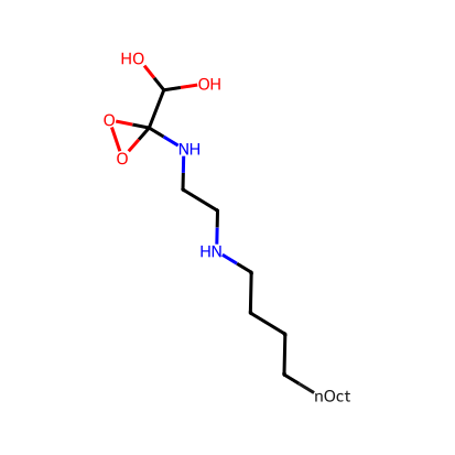 CCCCCCCCCCCCNCCNC1(C(O)O)OO1